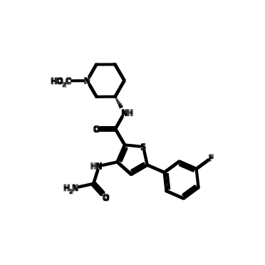 NC(=O)Nc1cc(-c2cccc(F)c2)sc1C(=O)N[C@H]1CCCN(C(=O)O)C1